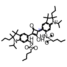 CCCCS(=O)(=O)Nc1cc2c(cc1C1=C(O)/C(=c3/cc4c(cc3NS(=O)(=O)CCCC)=[N+](C(C)C)C(C)(CCC)C4(C)C)C1=O)C(C)(C)C(C)(CCC)N2C(C)C